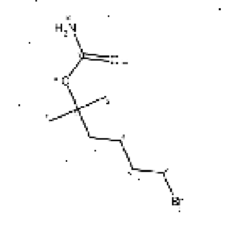 CC(C)(CCCCBr)OC(N)=O